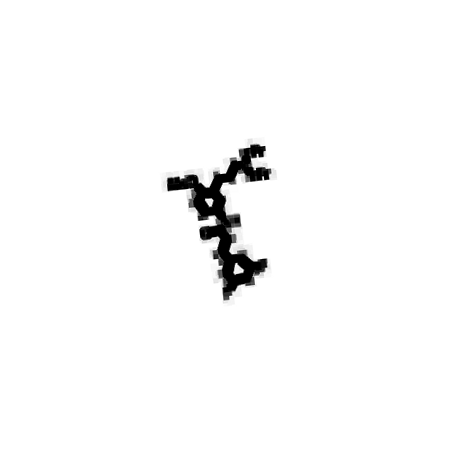 CCCN(CCC)CCCc1cc(NC(=O)C=Cc2cc(F)cc(F)c2)ccc1OC